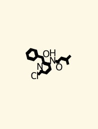 CC(C)=CC(=O)Nc1ccc(Cl)nc1C(=O)c1ccccc1